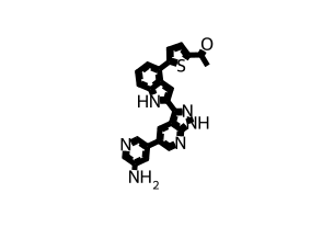 CC(=O)c1ccc(-c2cccc3[nH]c(-c4n[nH]c5ncc(-c6cncc(N)c6)cc45)cc23)s1